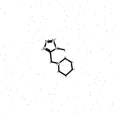 Cn1nnnc1CN1CCCCC1